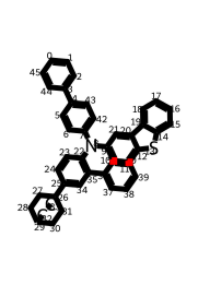 c1ccc(-c2ccc(N(c3ccc4sc5ccccc5c4c3)c3ccc(C45CCC(CC4)CC5)cc3-c3ccccc3)cc2)cc1